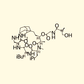 CC[C@@H](C)[C@H](NC(=O)[C@H](CC(C)C)N(C)C(=O)[C@H](C)[C@@H](CCC12CC3CC(CC1C3)C2)OC(=O)CNC(=O)[C@@H](C)CO)C(=O)N[C@@H](CN)C(N)=O